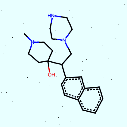 CN1CCC(O)(C(CN2CCNCC2)c2ccc3ccccc3c2)CC1